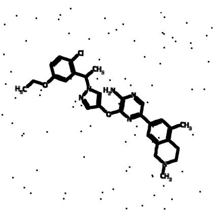 CCOc1ccc(Cl)c(C(C)n2cc(Oc3nc(-c4cc(C)c5c(c4)CN(C)CC5)cnc3N)cn2)c1